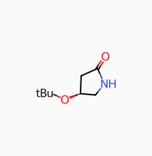 CC(C)(C)O[C@@H]1CNC(=O)C1